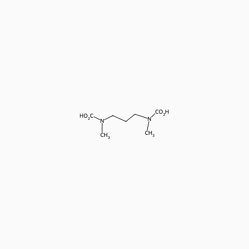 CN(CCCN(C)C(=O)O)C(=O)O